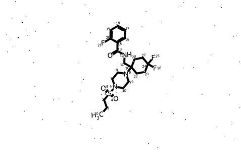 CCCS(=O)(=O)N1CCN(C2(CNC(=O)c3ccccc3F)CCC(F)(F)CC2)CC1